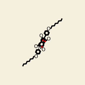 CCCCCCCCOc1ccc(-n2c(=O)c3ccc(c2=O)c2c4ccc(c(=O)n(-c5ccc(OCCCCCCCC)cc5)c4=O)c32)cc1